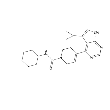 O=C(NC1CCCCC1)N1CC=C(c2ncnc3[nH]cc(C4CC4)c23)CC1